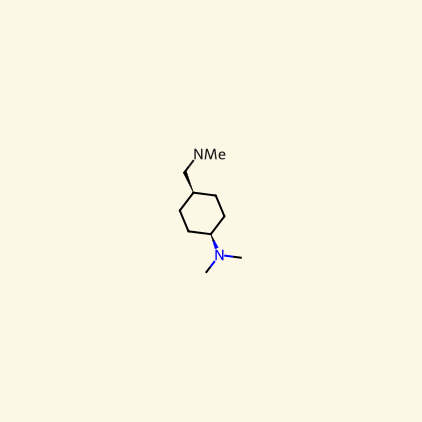 CNC[C@H]1CC[C@@H](N(C)C)CC1